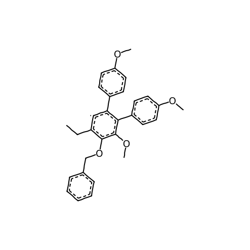 CCc1[c]c(-c2ccc(OC)cc2)c(-c2ccc(OC)cc2)c(OC)c1OCc1ccccc1